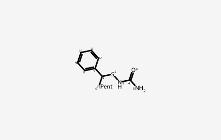 CCCCCC(SNC(N)=O)c1ccccc1